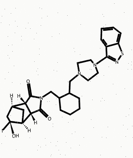 O=C1[C@H]2[C@H]3C[C@@H]([C@H]2C(=O)N1CC1CCCCC1CN1CCN(c2nsc4ccccc24)CC1)[C@](O)(I)C3